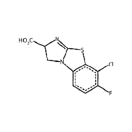 O=C(O)C1CN2C(=N1)Sc1c2ccc(F)c1Cl